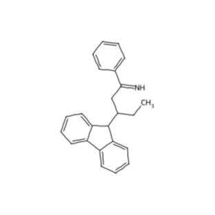 CCC(CC(=N)c1ccccc1)C1c2ccccc2-c2ccccc21